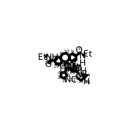 CCNC(=O)c1ccc2c(c1)CCc1cc(C(=O)NCC)ccc1C2(C[C@@H](NCC(=O)N1C(C#N)C[C@@H]2C[C@@H]21)C1CCCC1)c1nnn[nH]1